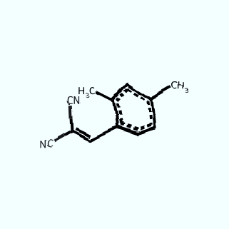 Cc1ccc(C=C(C#N)C#N)c(C)c1